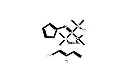 C=CC=CCCC.CCCC[Si](C)(C)P(=NC1=CC=CC1)([Si](C)(C)CCCC)[Si](C)(C)CCCC.[Ti]